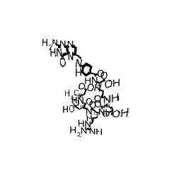 C[C@H](CC(=O)O)NC(=O)[C@H](CC(=O)O)NC(=O)[C@H](CCCNC(=N)N)NC(=O)[C@H](CC(=O)O)NC(=O)CC[C@H](NC(=O)c1ccc(NCc2cnc3nc(N)[nH]c(=O)c3n2)cc1)C(=O)O